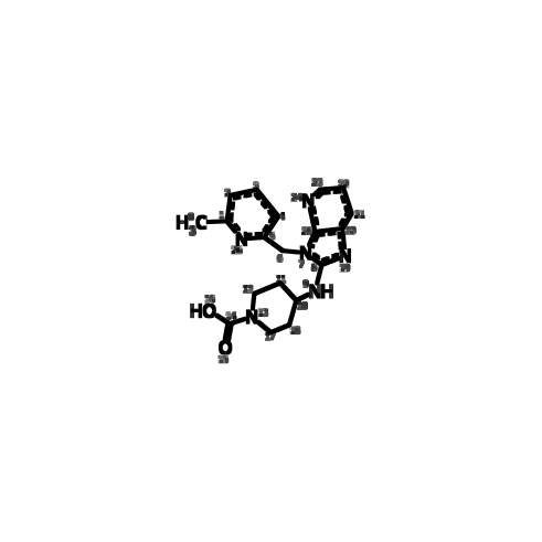 Cc1cccc(Cn2c(NC3CCN(C(=O)O)CC3)nc3cccnc32)n1